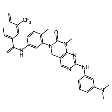 C=C/C(=C\C(=C/C)C(=C)Nc1ccc(C)c(N2Cc3cnc(Nc4cccc(N(C)C)c4)nc3N(C)C2=O)c1)C(F)(F)F